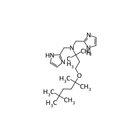 CC(C)(C)CCC(C)(C)OCCC(C)(C)N(Cc1ncc[nH]1)Cc1ncc[nH]1